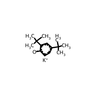 CC(C)(C)c1ccc([O-])c(C(C)(C)C)c1.[K+]